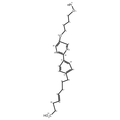 CCCOCCCCOc1cnc(-c2ccc(CCC/C=C/CCC(=O)O)cc2)nc1